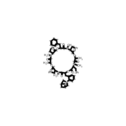 CC(C)CC1C(=O)OC(Cc2ccccc2N2CC3CC(C2)N3)C(=O)N(C)C(CC(C)C)C(=O)OC(C)C(=O)N(C)C(CC(C)C)C(=O)OC(Cc2ccccc2)C(=O)N(C)C(CC(C)C)C(=O)OC(C)C(=O)N1C